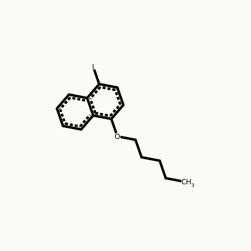 CCCCCOc1ccc(I)c2ccccc12